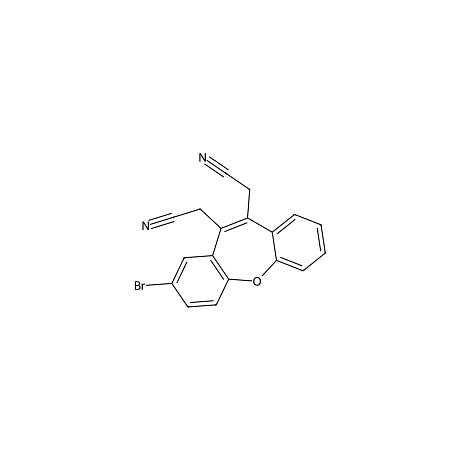 N#CCC1=C(CC#N)c2cc(Br)ccc2Oc2ccccc21